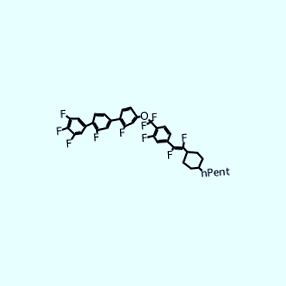 CCCCCC1CCC(/C(F)=C(\F)c2ccc(C(F)(F)Oc3ccc(-c4ccc(-c5cc(F)c(F)c(F)c5)c(F)c4)c(F)c3)c(F)c2)CC1